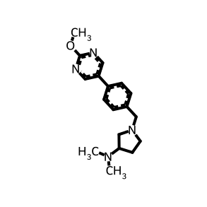 COc1ncc(-c2ccc(CN3CCC(N(C)C)C3)cc2)cn1